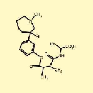 CCC1(c2cccc(OC(=O)C(C)C(C)C(=O)NC(C(=O)O)C(C)C)c2)CCCCN(C)C1